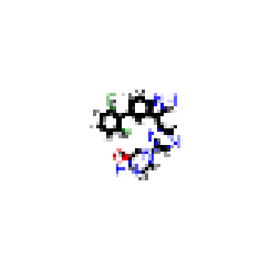 O=C1CN(c2cncc(-c3c[nH]c4ccc(-c5c(F)cccc5F)cc34)n2)CCN1